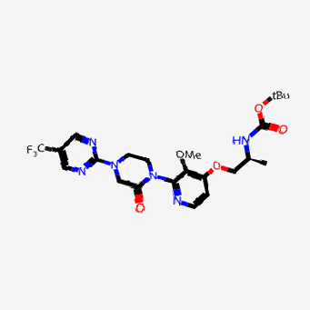 COc1c(OC[C@H](C)NC(=O)OC(C)(C)C)ccnc1N1CCN(c2ncc(C(F)(F)F)cn2)CC1=O